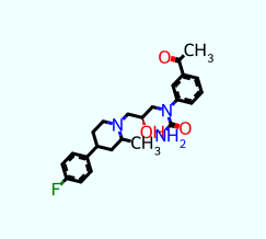 CC(=O)c1cccc(N(C[C@@H](O)CN2CCC(c3ccc(F)cc3)CC2C)C(N)=O)c1